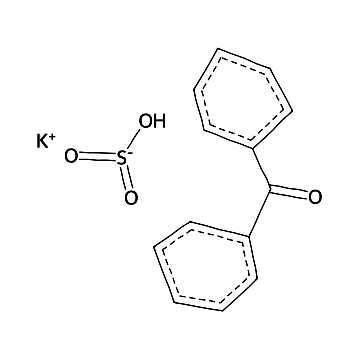 O=C(c1ccccc1)c1ccccc1.O=[S-](=O)O.[K+]